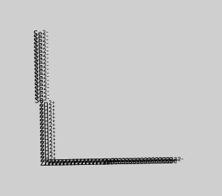 [Se-2].[Se-2].[Se-2].[Se-2].[Se-2].[Se-2].[Se-2].[Se-2].[Se-2].[Se-2].[Se-2].[Se-2].[Se-2].[Se-2].[Se-2].[Se-2].[Se-2].[Se-2].[Se-2].[Se-2].[Se-2].[Se-2].[Se-2].[Se-2].[Se-2].[Se-2].[Se-2].[Se-2].[Se-2].[Se-2].[Se-2].[Se-2].[Se-2].[Se-2].[Se-2].[Se-2].[Se-2].[Se-2].[Zn+2].[Zn+2].[Zn+2].[Zn+2].[Zn+2].[Zn+2].[Zn+2].[Zn+2].[Zn+2].[Zn+2].[Zn+2].[Zn+2].[Zn+2].[Zn+2].[Zn+2].[Zn+2].[Zn+2].[Zn+2].[Zn+2].[Zn+2].[Zn+2].[Zn+2].[Zn+2].[Zn+2].[Zn+2].[Zn+2].[Zn+2].[Zn+2].[Zn+2].[Zn+2].[Zn+2].[Zn+2].[Zn+2].[Zn+2]